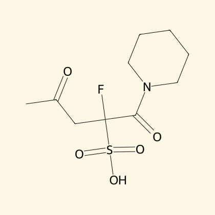 CC(=O)CC(F)(C(=O)N1CCCCC1)S(=O)(=O)O